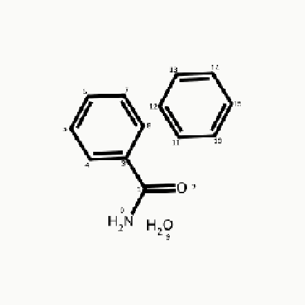 NC(=O)c1ccccc1.O.c1ccccc1